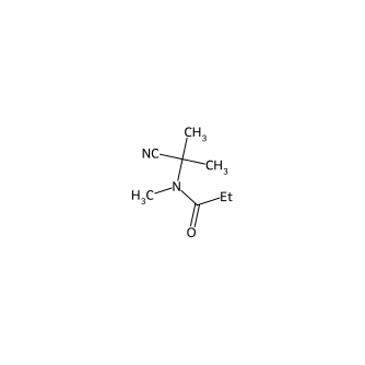 CCC(=O)N(C)C(C)(C)C#N